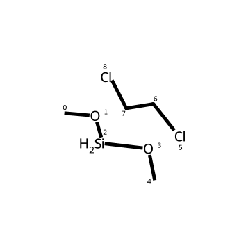 CO[SiH2]OC.ClCCCl